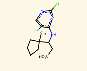 O=C(O)CC(Nc1nc(Cl)ncc1F)C1(C(F)(F)F)CCCC1